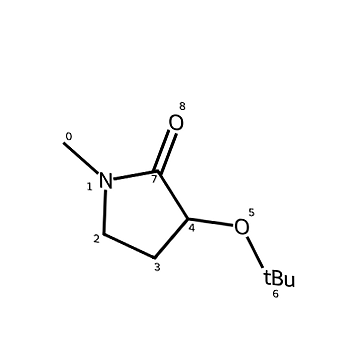 CN1CCC(OC(C)(C)C)C1=O